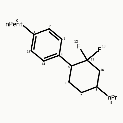 CCCCCc1ccc(C2CCC(CCC)CC2(F)F)cc1